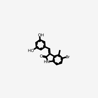 Cc1c(Br)ccc2c1C(=Cc1cc(O)cc(O)c1)C(=O)N2